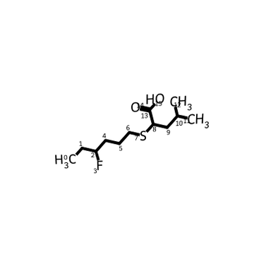 CCC(F)CCCSC(CC(C)C)C(=O)O